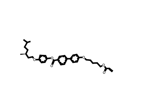 C=CC(=O)OCCCCCOc1ccc(-c2ccc(C(=O)Oc3ccc(OCC[C@@H](C)CCC(C)C)cc3)cc2)cc1